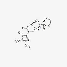 Cn1nc(-c2cc(/C=C(\Cl)P3(=O)OCCCO3)c(Cl)cc2F)c(Cl)c1C(F)(F)F